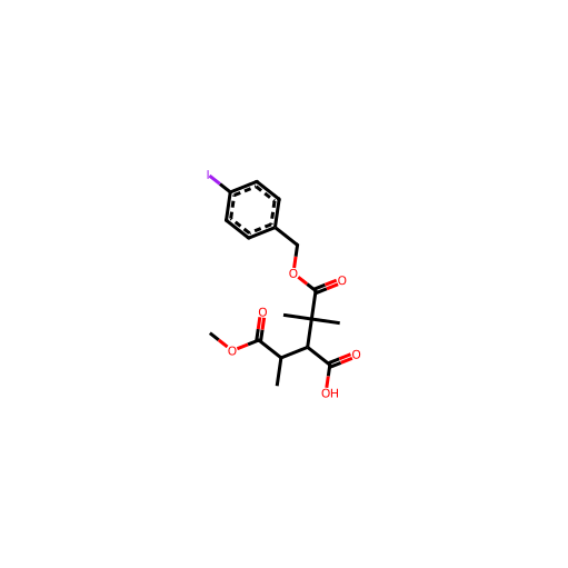 COC(=O)C(C)C(C(=O)O)C(C)(C)C(=O)OCc1ccc(I)cc1